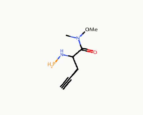 C#CCC(NP)C(=O)N(C)OC